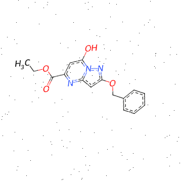 CCOC(=O)c1cc(O)n2nc(OCc3ccccc3)cc2n1